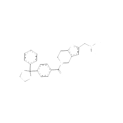 CN(C)Cc1cc2c(o1)CCN(C(=O)c1ccc(C3(c4ccccc4)SCCS3)cc1)C2